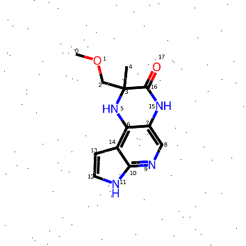 COCC1(C)Nc2c(cnc3[nH]ccc23)NC1=O